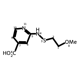 COCCSNc1cc(C(=O)O)ccn1